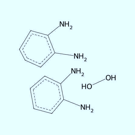 Nc1ccccc1N.Nc1ccccc1N.OO